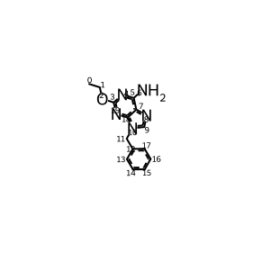 CCOc1nc(N)c2ncn(Cc3ccccc3)c2n1